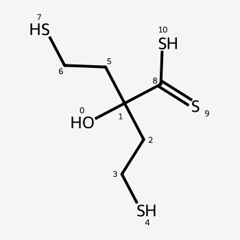 OC(CCS)(CCS)C(=S)S